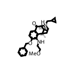 COCCNc1c(OCc2ccccc2)ccc2c1[C@]1(C)CCN(CC3CC3)[C@H](C2=O)[C@@H]1C